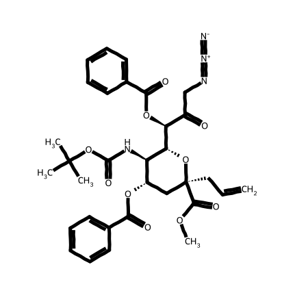 C=CC[C@]1(C(=O)OC)C[C@H](OC(=O)c2ccccc2)[C@@H](NC(=O)OC(C)(C)C)[C@H]([C@@H](OC(=O)c2ccccc2)C(=O)CN=[N+]=[N-])O1